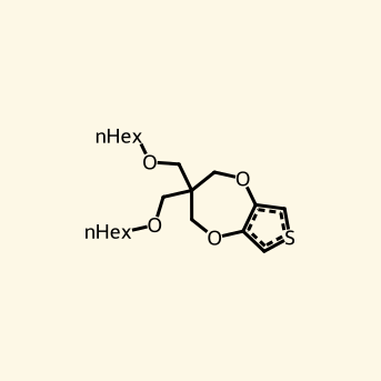 CCCCCCOCC1(COCCCCCC)COc2cscc2OC1